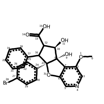 COc1cncc2c1[C@]1(O)[C@H](O)C(C(=O)O)C(c3ccccc3)[C@]1(c1ccc(Br)cc1)O2